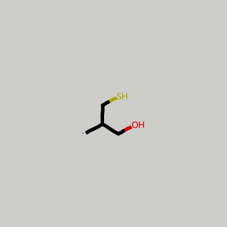 [CH2]C(CO)CS